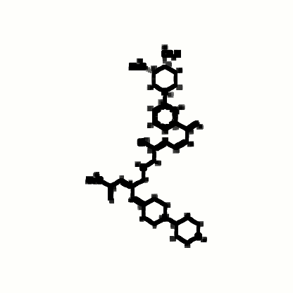 C=C(/C=C(\C=C1CCN(C2CCOCC2)CC1)COC/C(Cl)=C\C=C/C(=C)c1cccc(N2CC[C@@H](C(=O)O)[C@@H](OC)C2)n1)OC